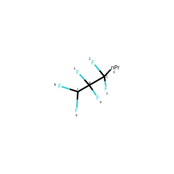 CCCC(F)(F)C(F)(F)[C](F)F